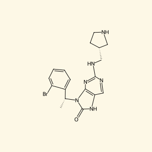 C[C@H](c1ccccc1Br)n1c(=O)[nH]c2cnc(NC[C@@H]3CCNC3)nc21